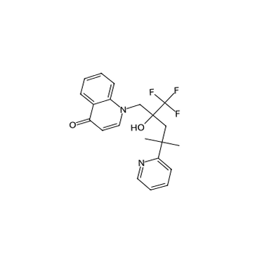 CC(C)(CC(O)(Cn1ccc(=O)c2ccccc21)C(F)(F)F)c1ccccn1